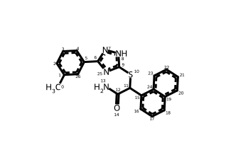 Cc1cccc(-c2n[nH]c(SC(C(N)=O)c3cccc4ccccc34)n2)c1